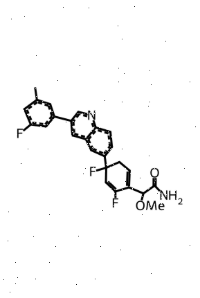 COC(C(N)=O)C1=CCC(F)(c2ccc3ncc(-c4cc(C)cc(F)c4)cc3c2)C=C1F